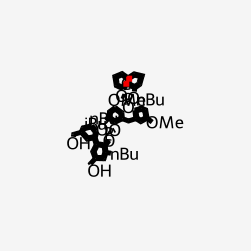 CCCCc1cc(OC)cc(Cc2cc(OC)cc(C(C)CC)c2Op2oc3c(CCCC)cc(CO)cc3c3cc(CO)cc(CCCC)c3o2)c1OP(Oc1ccccc1)Oc1ccccc1